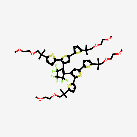 COCCOCC(C)(C)c1ccc(-c2cc(C3=C(c4cc(-c5ccc(C(C)(C)COCCOC)s5)sc4-c4ccc(C(C)(C)COCCOC)s4)C(F)(F)C(F)(F)C3(F)F)c(-c3ccc(C(C)(C)COCCOC)s3)s2)s1